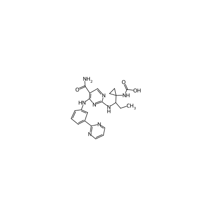 CCC(Nc1ncc(C(N)=O)c(Nc2cccc(-c3ncccn3)c2)n1)C1(NC(=O)O)CC1